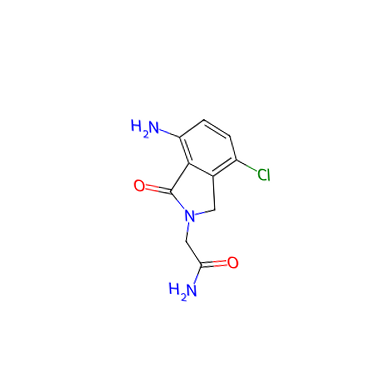 NC(=O)CN1Cc2c(Cl)ccc(N)c2C1=O